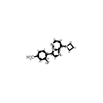 Cc1ccc(-c2[c]nc3c(N4CCC4)ccnn23)c(F)c1